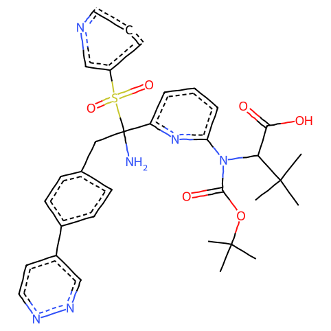 CC(C)(C)OC(=O)N(c1cccc(C(N)(Cc2ccc(-c3ccnnc3)cc2)S(=O)(=O)c2cccnc2)n1)C(C(=O)O)C(C)(C)C